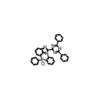 O=P1(c2ccccc2)c2ccccc2-n2c(-c3nc(-c4ccccc4)nc(-c4ccccc4)n3)nc3cccc1c32